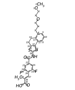 COCCOCCCc1cccc2c1CCc1sc(NC(=O)c3cc(F)c(C=C(C)C(=O)O)c(F)c3)nc1-2